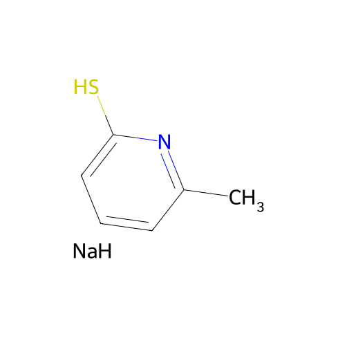 Cc1cccc(S)n1.[NaH]